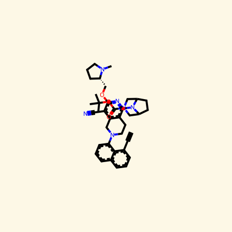 C#Cc1cccc2cccc(N3CCc4c(N5C6CCC5CN(C(=O)OC(C)(C)C)C6)nc(OC[C@@H]5CCCN5C)c(C#N)c4C3)c12